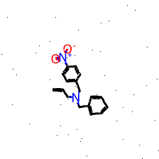 C=CCN(Cc1ccccc1)Cc1ccc([N+](=O)[O-])cc1